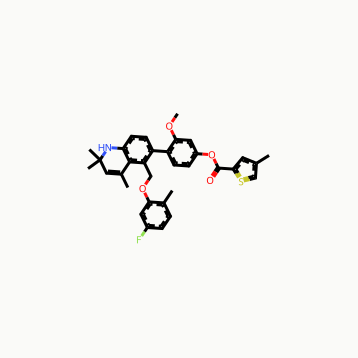 COc1cc(OC(=O)c2cc(C)cs2)ccc1-c1ccc2c(c1COc1cc(F)ccc1C)C(C)=CC(C)(C)N2